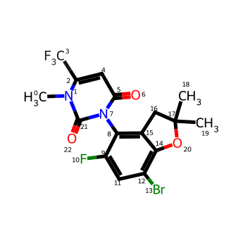 Cn1c(C(F)(F)F)cc(=O)n(-c2c(F)cc(Br)c3c2CC(C)(C)O3)c1=O